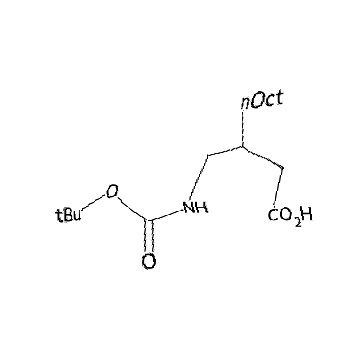 CCCCCCCCC(CNC(=O)OC(C)(C)C)CC(=O)O